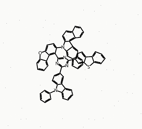 c1ccc(-n2c3ccccc3c3cc(-c4nc(-c5ccc6c(c5)sc5ccccc56)nc(-c5c(-n6c7cc8ccccc8cc7c7c8ccccc8ccc76)ccc6oc7ccccc7c56)n4)ccc32)cc1